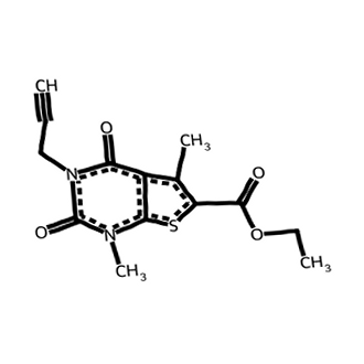 C#CCn1c(=O)c2c(C)c(C(=O)OCC)sc2n(C)c1=O